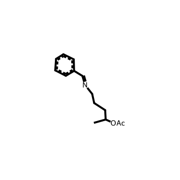 CC(=O)OC(C)CCCN=Cc1ccccc1